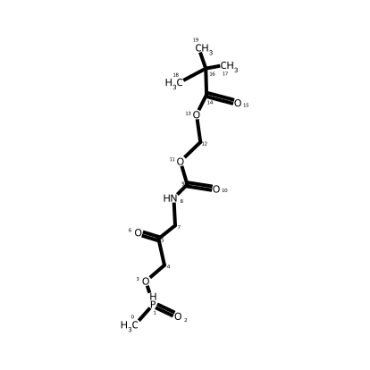 C[PH](=O)OCC(=O)CNC(=O)OCOC(=O)C(C)(C)C